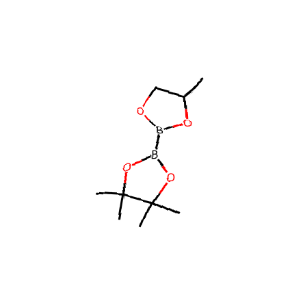 CC1COB(B2OC(C)(C)C(C)(C)O2)O1